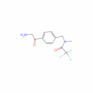 CN(Cc1ccc(C(=O)CN)cc1)C(=O)C(F)(F)F